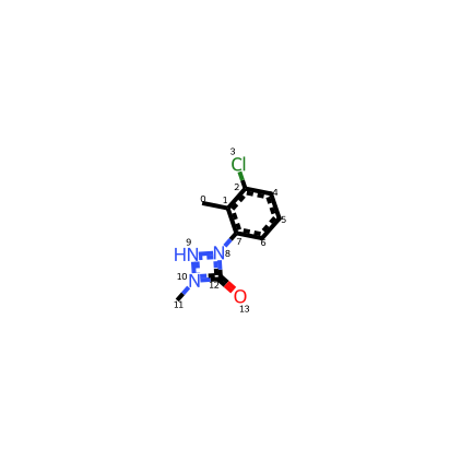 Cc1c(Cl)cccc1-n1[nH]n(C)c1=O